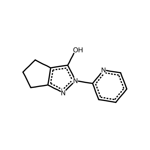 Oc1c2c(nn1-c1ccccn1)CCC2